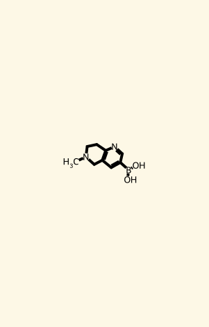 CN1CCc2ncc(B(O)O)cc2C1